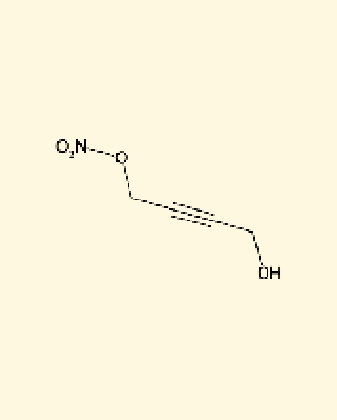 O=[N+]([O-])OCC#CCO